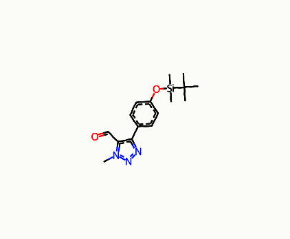 Cn1nnc(-c2ccc(O[Si](C)(C)C(C)(C)C)cc2)c1C=O